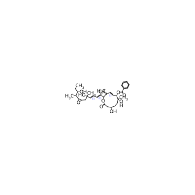 CCC(O)C(C)C1OC1CC(C)(O)/C=C/C=C(\C)C1OC(=O)CC(O)CCC(C)(O)C(OC(=O)c2ccccc2)/C=C/C1C